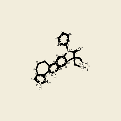 CCC1(CC)C(=O)N(c2ccccn2)c2cc3c4c([nH]c3cc21)-c1n[nH]cc1CCC4